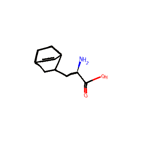 N[C@H](CC1CC2C=CC1CC2)C(=O)O